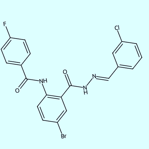 O=C(Nc1ccc(Br)cc1C(=O)NN=Cc1cccc(Cl)c1)c1ccc(F)cc1